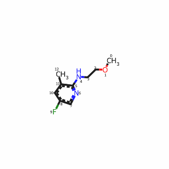 COCCNc1ncc(F)cc1C